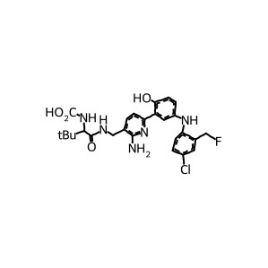 CC(C)(C)C(NC(=O)O)C(=O)NCc1ccc(-c2cc(Nc3ccc(Cl)cc3CF)ccc2O)nc1N